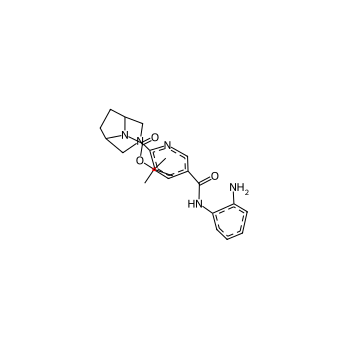 CC(C)(C)OC(=O)N1C2CCC1CN(c1ccc(C(=O)Nc3ccccc3N)cn1)C2